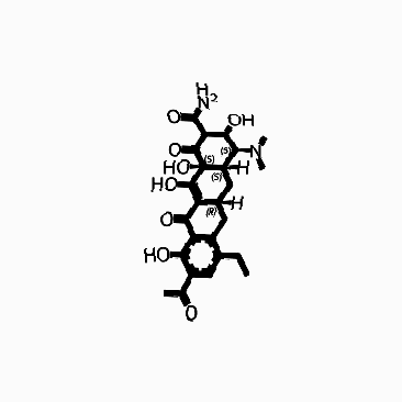 CCc1cc(C(C)=O)c(O)c2c1C[C@H]1C[C@H]3[C@H](N(C)C)C(O)C(C(N)=O)C(=O)[C@@]3(O)C(O)=C1C2=O